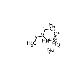 CCC(CC)N[SH](=O)=O.[Na]